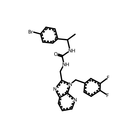 CC(NC(=O)NCc1nc2cccnc2n1Cc1ccc(F)c(F)c1)c1ccc(Br)cc1